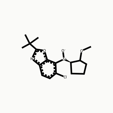 COC1CCC[C@H]1[S+]([O-])c1c(Cl)ccc2nc(C(C)(C)C)oc12